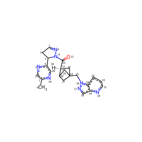 Cc1cnc(C2CC=NN2C(=O)[C@H]2CC3(Cn4ncc5ncccc54)CC2C3)cn1